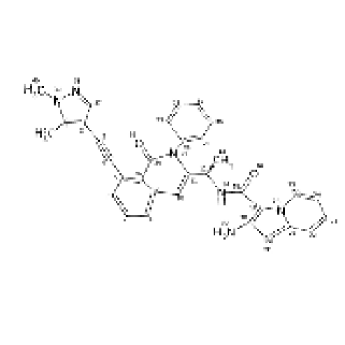 Cc1c(C#Cc2cccc3cc([C@@H](C)NC(=O)c4c(N)nc5cccnn45)n(-c4ccccc4)c(=O)c23)cnn1C